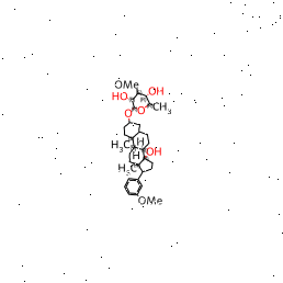 COc1cccc(C2CC[C@@]3(O)[C@@H]4CCC5CC(O[C@@H]6O[C@H](C)[C@@H](O)[C@H](OC)[C@H]6O)CC[C@]5(C)[C@@H]4CC[C@]23C)c1